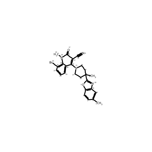 Cc1ccc2oc(C3(C)CCN(c4c(C#N)c(=O)n(C)c5c(Br)cccc45)CC3)nc2c1